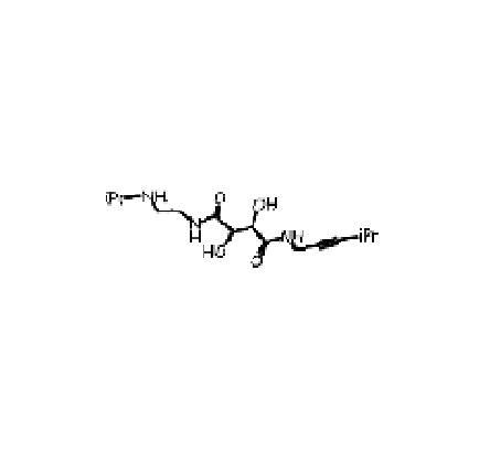 CC(C)C#CCNC(=O)C(O)C(O)C(=O)NCCNC(C)C